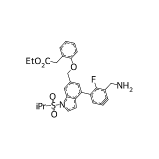 CCOC(=O)Cc1ccccc1OCc1cc(-c2cc#cc(CN)c2F)c2ccn(S(=O)(=O)C(C)C)c2c1